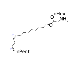 CCCCC/C=C\C/C=C\CCCCCCCCOC(CN)OCCCCCC